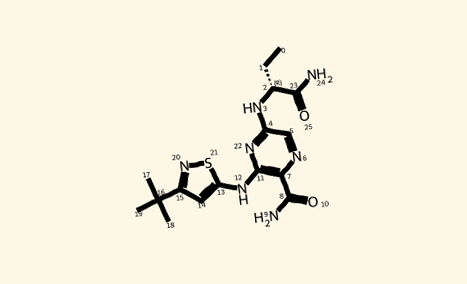 CC[C@@H](Nc1cnc(C(N)=O)c(Nc2cc(C(C)(C)C)ns2)n1)C(N)=O